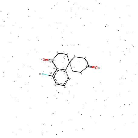 O=C1CCC2(CC1)CCC(=O)c1c(F)cccc12